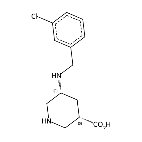 O=C(O)[C@@H]1CNC[C@H](NCc2cccc(Cl)c2)C1